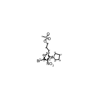 CS(=O)(=O)OCCCn1nc(Br)c([N+](=O)[O-])c1N1CCCC1